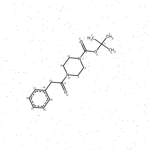 CC(C)(C)OC(=O)N1CCN(C(=O)Cc2ccccc2)CC1